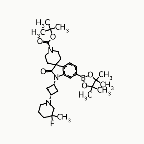 CC1(F)CCCN([C@H]2C[C@@H](N3C(=O)C4(CCN(C(=O)OC(C)(C)C)CC4)c4ccc(B5OC(C)(C)C(C)(C)O5)cc43)C2)C1